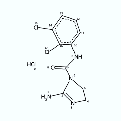 Cl.NC1=NCCN1C(=O)Nc1cccc(Cl)c1Cl